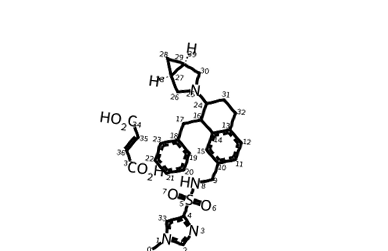 Cn1cnc(S(=O)(=O)NCc2ccc3c(c2)C(Cc2ccccc2)C(N2C[C@H]4C[C@H]4C2)CC3)c1.O=C(O)C=CC(=O)O